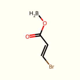 BOC(=O)/C=C/Br